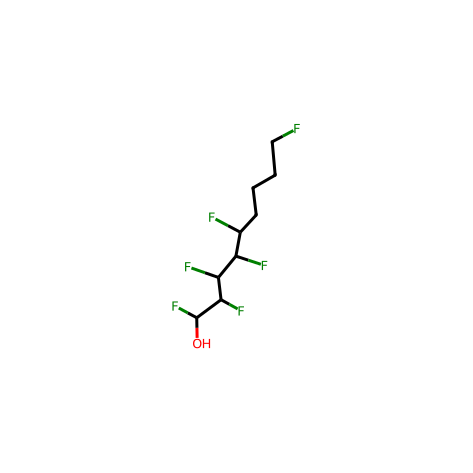 OC(F)C(F)C(F)C(F)C(F)CCCCF